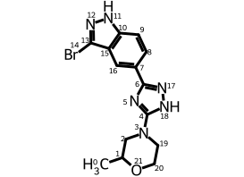 CC1CN(c2nc(-c3ccc4[nH]nc(Br)c4c3)n[nH]2)CCO1